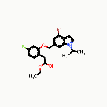 CCOC(O)Cc1ccc(F)cc1OCc1cc(Br)c2ccn(C(C)C)c2c1